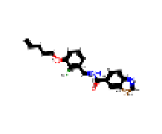 C=CCCCOc1cccc(CNC(=O)c2ccc3ncsc3c2)c1F